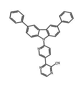 N#Cc1nccnc1-c1ccc(-n2c3ccc(-c4ccccc4)cc3c3cc(-c4ccccc4)ccc32)nc1